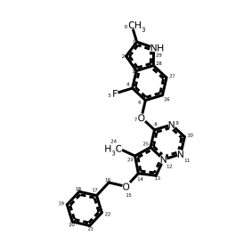 Cc1cc2c(F)c(Oc3ncnn4cc(OCc5ccccc5)c(C)c34)ccc2[nH]1